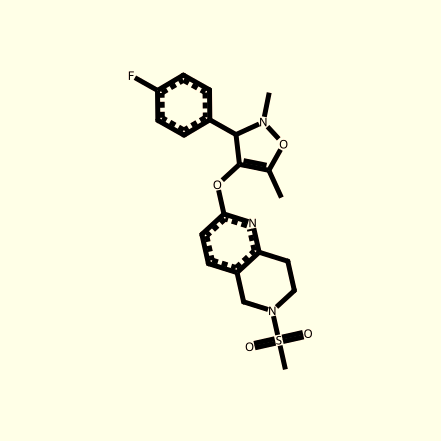 CC1=C(Oc2ccc3c(n2)CCN(S(C)(=O)=O)C3)C(c2ccc(F)cc2)N(C)O1